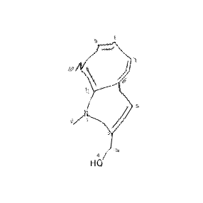 Cn1c(CO)cc2cccnc21